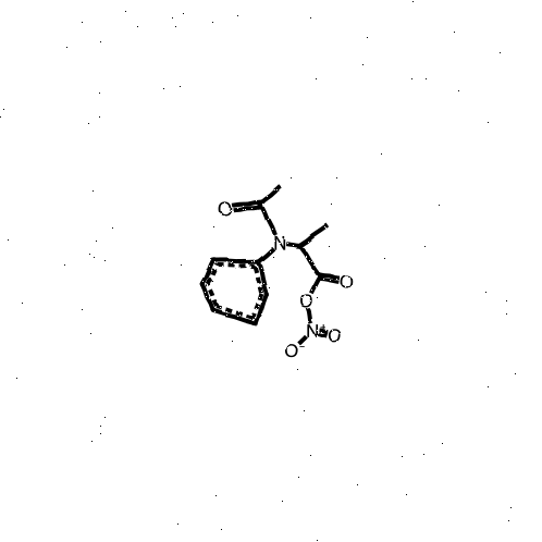 CC(=O)N(c1ccccc1)C(C)C(=O)O[N+](=O)[O-]